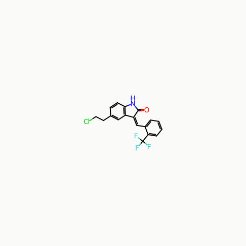 O=C1Nc2ccc(CCCl)cc2C1=Cc1ccccc1C(F)(F)F